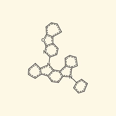 c1ccc(-n2c3ccccc3c3c2ccc2c4ccccc4n(-c4ccc5c(n4)oc4ccccc45)c23)cc1